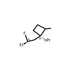 CCC[C@]1(C[C@H](F)CC)CCC1C